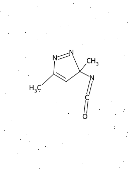 CC1=CC(C)(N=C=O)N=N1